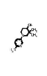 CC1(C)CN(c2ccc(N)nc2)CCC1O